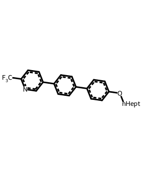 CCCCCCCOc1ccc(-c2ccc(-c3ccc(C(F)(F)F)nc3)cc2)cc1